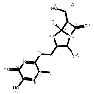 C[C@@H](O)[C@H]1C(=O)N2C(C(=O)O)C(CSc3nc(=O)c(O)nn3C)S[C@H]12